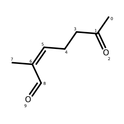 CC(=O)CCC=C(C)C=O